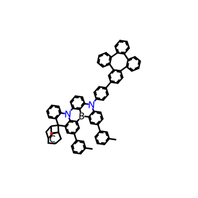 Cc1cccc(-c2ccc3c(c2)B2c4cc(-c5cccc(C)c5)cc5c4N(c4ccccc4C54C5CC6CC7CC5C4(C7)C6)c4cccc(c42)N3c2ccc(-c3ccc4c(c3)-c3ccccc3-c3ccccc3-c3ccccc3-4)cc2)c1